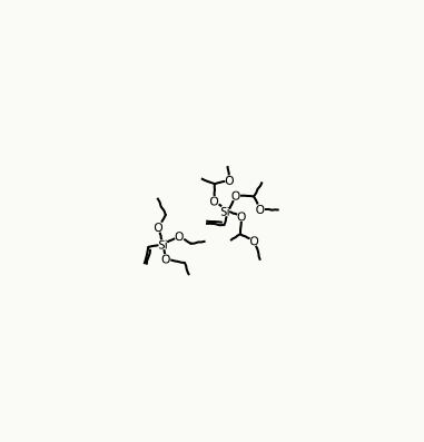 C=C[Si](OC(C)OC)(OC(C)OC)OC(C)OC.C=C[Si](OCC)(OCC)OCC